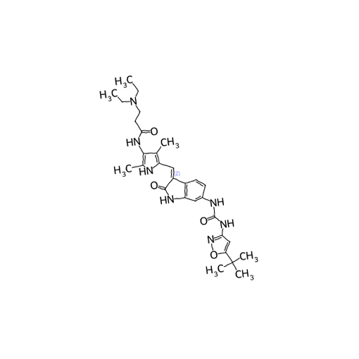 CCN(CC)CCC(=O)Nc1c(C)[nH]c(/C=C2\C(=O)Nc3cc(NC(=O)Nc4cc(C(C)(C)C)on4)ccc32)c1C